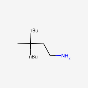 CCCCC(C)(CCN)CCCC